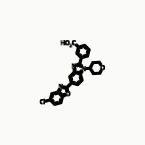 O=C(O)c1cccc(-c2nc3cc(-c4nc5cc(Cl)ccc5o4)ccc3n2C2CCOCC2)c1